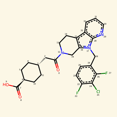 O=C(C[C@H]1CC[C@H](C(=O)O)CC1)N1CCc2c(n(Cc3ccc(F)c(Cl)c3F)c3ncccc23)C1